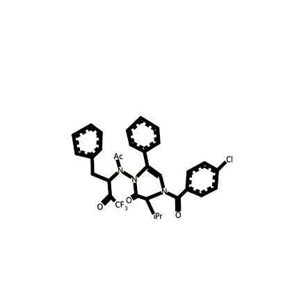 CC(=O)N(C(Cc1ccccc1)C(=O)C(F)(F)F)N1C(=O)C(C(C)C)N(C(=O)c2ccc(Cl)cc2)C=C1c1ccccc1